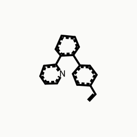 C=Cc1ccc(-c2ccccc2-c2ccccn2)cc1